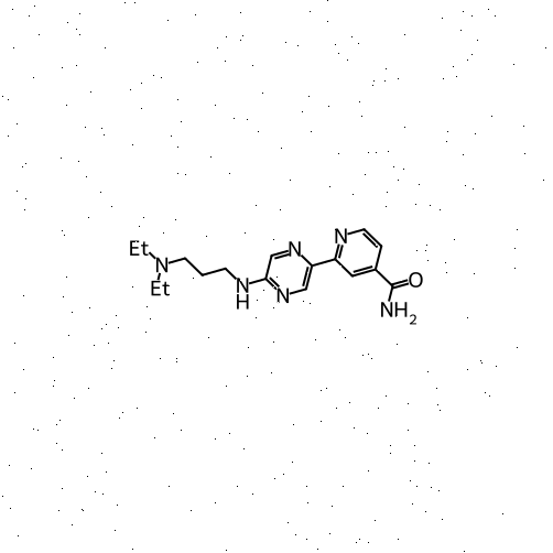 CCN(CC)CCCNc1cnc(-c2cc(C(N)=O)ccn2)cn1